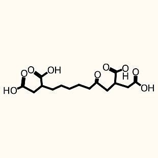 O=C(O)CC(CCCCCC(=O)CC(CC(=O)O)C(=O)O)C(=O)O